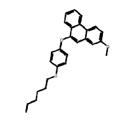 CCCCCCOc1ccc(Oc2cc3cc(OC)ccc3c3ccccc23)cc1